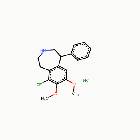 COc1cc2c(c(Cl)c1OC)CCNCC2c1ccccc1.Cl